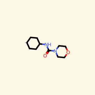 O=C(NC1CC[CH]CC1)N1CCOCC1